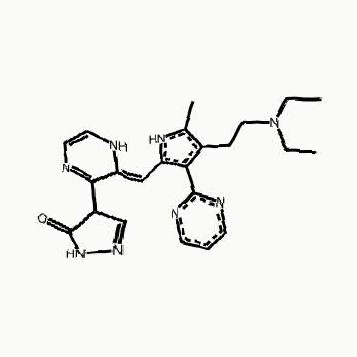 CCN(CC)CCc1c(C)[nH]c(C=C2NC=CN=C2C2C=NNC2=O)c1-c1ncccn1